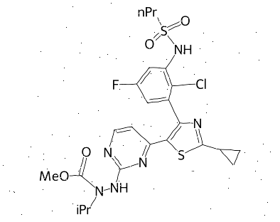 CCCS(=O)(=O)Nc1cc(F)cc(-c2nc(C3CC3)sc2-c2ccnc(NN(C(=O)OC)C(C)C)n2)c1Cl